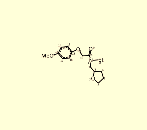 CCN(CC1CCCO1)C(=O)COc1ccc(OC)cc1